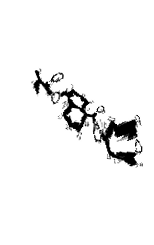 C=C(C)C(=O)Oc1cccc2c(C(=O)Oc3cc(C)oc(=O)c3)cccc12